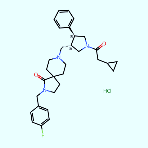 Cl.O=C(CC1CC1)N1C[C@H](CN2CCC3(CC2)CCN(Cc2ccc(F)cc2)C3=O)[C@@H](c2ccccc2)C1